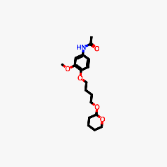 COc1cc(NC(C)=O)ccc1OCCCCOC1CCCCO1